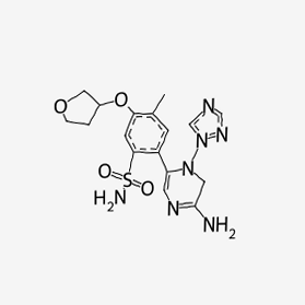 Cc1cc(C2=CN=C(N)CN2n2cncn2)c(S(N)(=O)=O)cc1OC1CCOC1